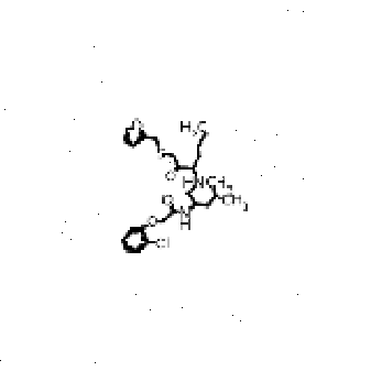 CCCCC(NCC(CC(C)C)NC(=O)COc1ccccc1Cl)C(=O)CSCc1ccco1